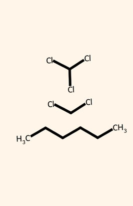 CCCCCC.ClC(Cl)Cl.ClCCl